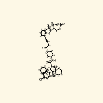 O=C1CCC(N2Cc3c(C#CCC(=O)[C@H]4CC[C@H](NC(=O)C5NC6(CCCCC6)[C@@]6(C(=O)Nc7cc(Cl)ccc76)[C@H]5c5ccccc5F)CC4)cccc3C2=O)C(=O)N1